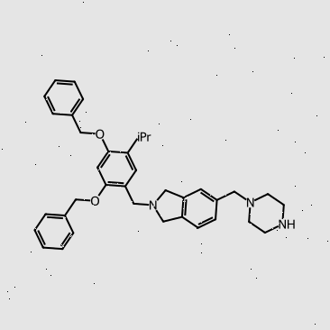 CC(C)c1cc(CN2Cc3ccc(CN4CCNCC4)cc3C2)c(OCc2ccccc2)cc1OCc1ccccc1